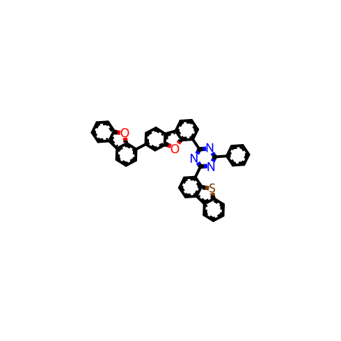 c1ccc(-c2nc(-c3cccc4c3oc3cc(-c5cccc6c5oc5ccccc56)ccc34)nc(-c3cccc4c3sc3ccccc34)n2)cc1